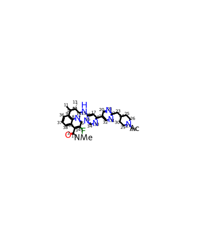 CNC(=O)c1c(F)cnc2c(C(C)[C@H](C)CNc3cc(-c4cnc(CC5CCN(C(C)=O)CC5)nc4)ncn3)cccc12